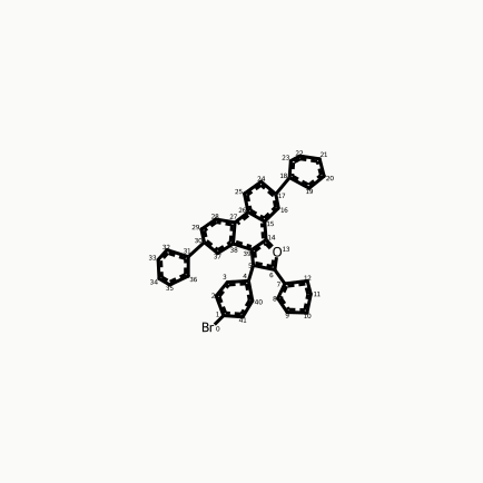 Brc1ccc(-c2c(-c3ccccc3)oc3c4cc(-c5ccccc5)ccc4c4ccc(-c5ccccc5)cc4c23)cc1